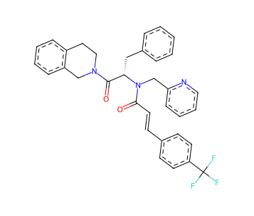 O=C([C@H](Cc1ccccc1)N(Cc1ccccn1)C(=O)C=Cc1ccc(C(F)(F)F)cc1)N1CCc2ccccc2C1